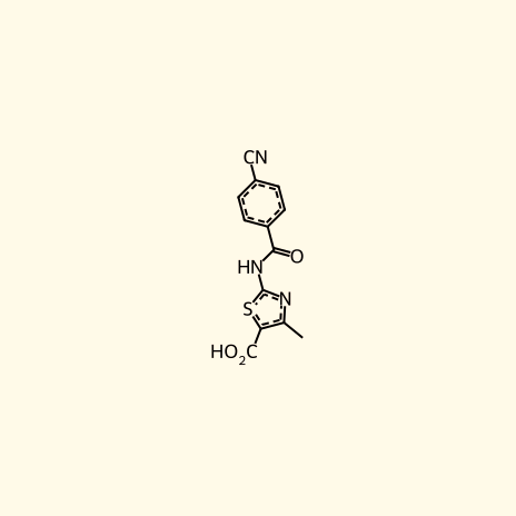 Cc1nc(NC(=O)c2ccc(C#N)cc2)sc1C(=O)O